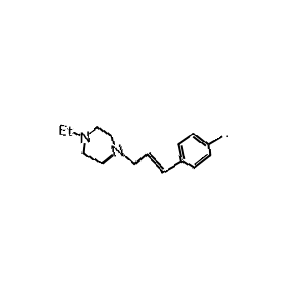 [CH2]c1ccc(/C=C/CN2CCN(CC)CC2)cc1